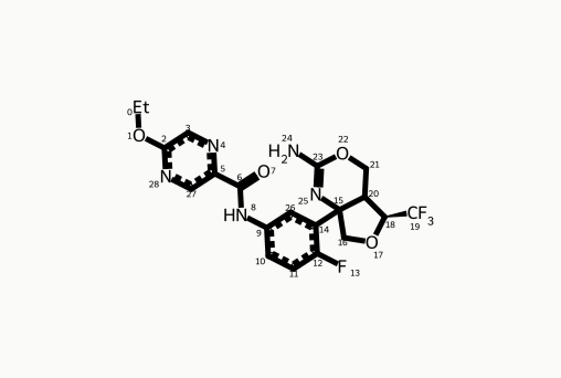 CCOc1cnc(C(=O)Nc2ccc(F)c(C34CO[C@H](C(F)(F)F)C3COC(N)=N4)c2)cn1